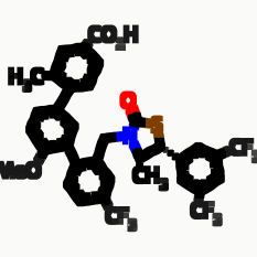 COc1ccc(-c2ccc(C(=O)O)cc2C)cc1-c1ccc(C(F)(F)F)cc1CN1C(=O)S[C@H](c2cc(C(F)(F)F)cc(C(F)(F)F)c2)[C@@H]1C